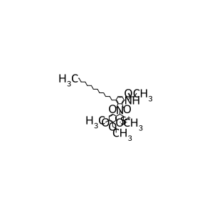 CCCCCCCCCCCCCc1ccc(NC(=O)CC)c2c1C(=O)N(C(C[S+](C)[O-])c1ccc(OC)c(OCC)c1)C2=O